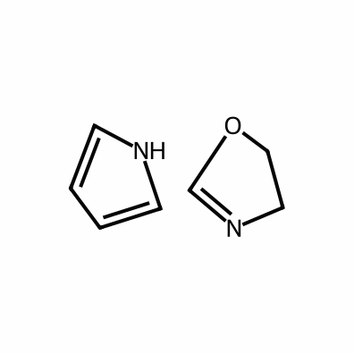 C1=NCCO1.c1cc[nH]c1